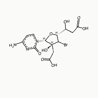 Nc1ccn([C@@H]2O[C@H](C(O)CC(=O)O)C(Br)[C@]2(O)CC(=O)O)c(=O)n1